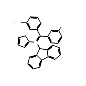 FC(F)(F)c1cccc([C](c2cccc(C(F)(F)F)c2)=[Zr+2]([C]2=CC=CC2)[CH]2c3ccccc3-c3ccccc32)c1.[Cl-].[Cl-]